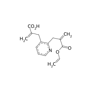 C=COC(=O)C(=C)Cc1ncccc1CC(=C)C(=O)O